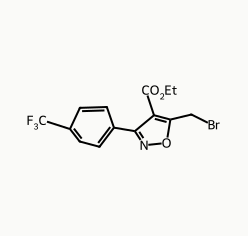 CCOC(=O)c1c(-c2ccc(C(F)(F)F)cc2)noc1CBr